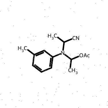 CC(=O)OC(C)N(c1cccc(C)c1)C(C)C#N